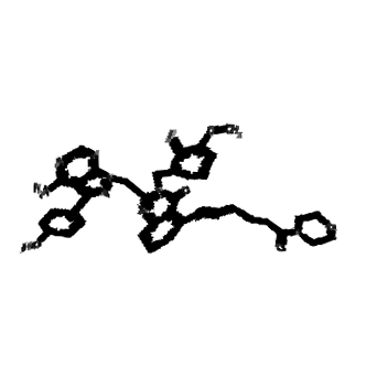 COc1cccc(Cn2c(Cn3nc(-c4ccc(O)cc4)c4c(N)ncnc43)nc3cccc(C#CCCCC(=O)N4CCOCC4)c3c2=O)c1F